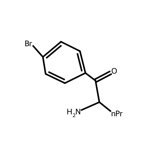 CCCC(N)C(=O)c1ccc(Br)cc1